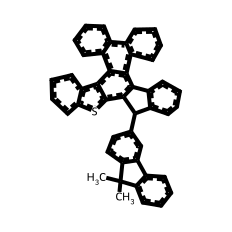 CC1(C)c2ccccc2-c2cc(C3c4ccccc4-c4c3c3sc5ccccc5c3c3c5ccccc5c5ccccc5c43)ccc21